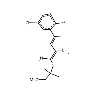 COCC(C)(C)S/C(N)=C(N)/C=C(\C)c1cc(Cl)ccc1F